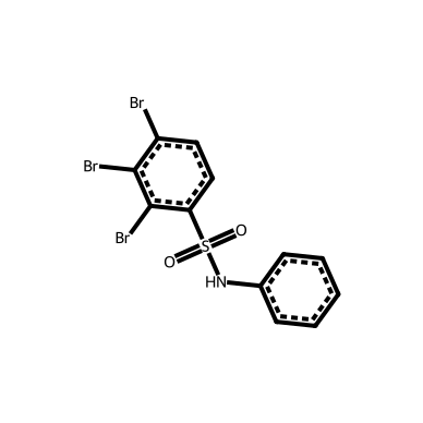 O=S(=O)(Nc1ccccc1)c1ccc(Br)c(Br)c1Br